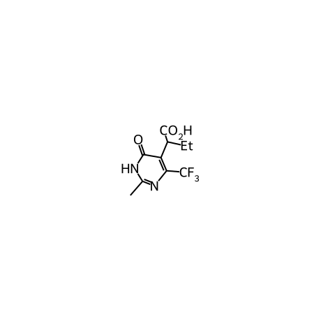 CCC(C(=O)O)c1c(C(F)(F)F)nc(C)[nH]c1=O